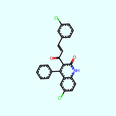 O=C(/C=C/c1cccc(Cl)c1)c1c(-c2ccccc2)c2cc(Cl)ccc2[nH]c1=O